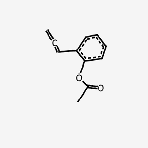 C=C=Cc1ccccc1OC(C)=O